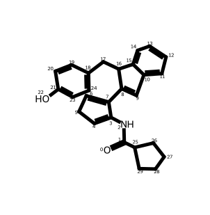 O=C(NC1=CCC=C1C1=Cc2ccccc2C1Cc1ccc(O)cc1)C1CCCC1